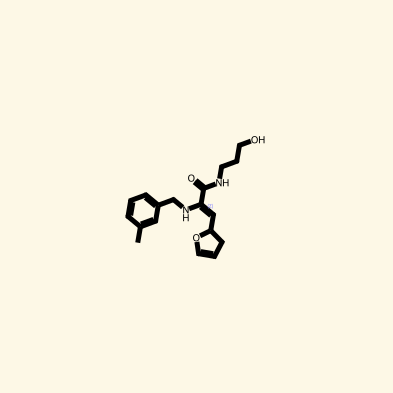 Cc1cccc(CN/C(=C\C2CC=CO2)C(=O)NCCCO)c1